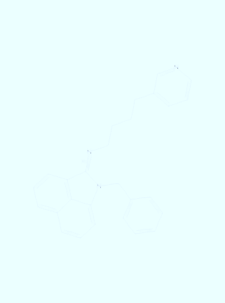 c1ccc(CN2/C(=N\CCCCc3cccnc3)c3cccc4cccc2c34)cc1